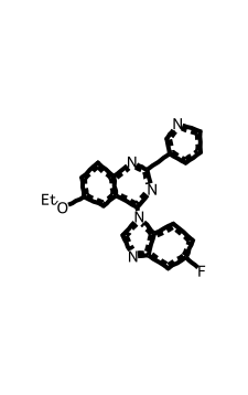 CCOc1ccc2nc(-c3cccnc3)nc(-n3cnc4cc(F)ccc43)c2c1